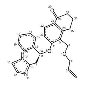 C=CCOCc1c(O[C@@H](Cc2ncc[nH]2)c2ccccc2)ccc2c1CCCC2=O